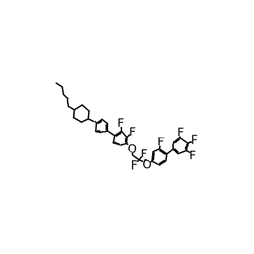 CCCCCC1CCC(c2ccc(-c3ccc(OCC(F)(F)Oc4ccc(-c5cc(F)c(F)c(F)c5)c(F)c4)c(F)c3F)cc2)CC1